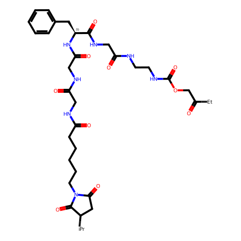 CCC(=O)COC(=O)NCCNC(=O)CNC(=O)[C@H](Cc1ccccc1)NC(=O)CNC(=O)CNC(=O)CCCCCN1C(=O)CC(C(C)C)C1=O